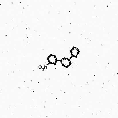 O=[N+]([O-])c1cccc(-c2cccc(-c3ccccc3)c2)c1